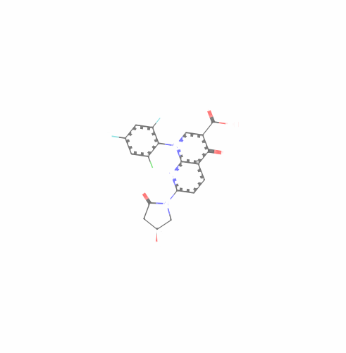 O=C(O)c1cn(-c2c(F)cc(F)cc2Cl)c2nc(N3C[C@@H](O)CC3=O)ccc2c1=O